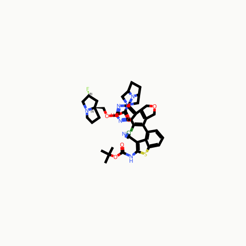 CC(C)(C)OC(=O)Nc1sc2cccc(-c3c4c(c5c(N6C7CCC6CN(C(=O)O)C7)nc(OC[C@@]67CCCN6C[C@H](F)C7)nc5c3Cl)COC4)c2c1C#N